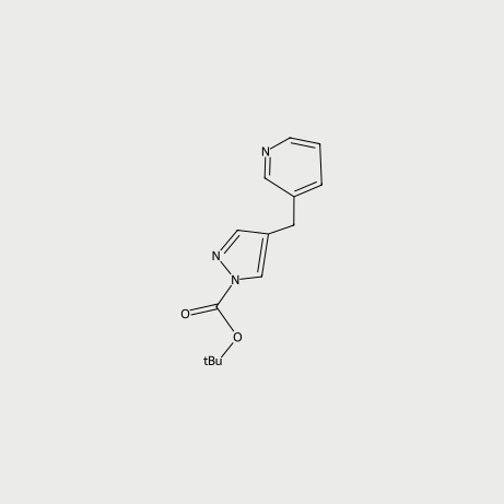 CC(C)(C)OC(=O)n1cc(Cc2cccnc2)cn1